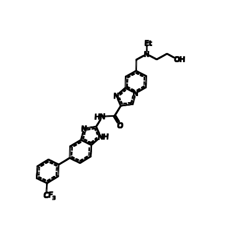 CCN(CCO)Cc1ccn2cc(C(=O)Nc3nc4cc(-c5cccc(C(F)(F)F)c5)ccc4[nH]3)nc2c1